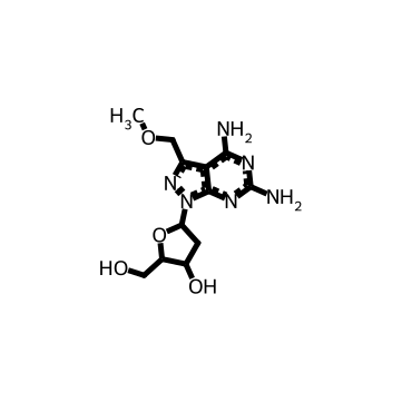 COCc1nn(C2CC(O)C(CO)O2)c2nc(N)nc(N)c12